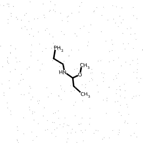 CCC(NCCP)OC